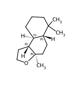 CC1(C)CCC[C@H]2[C@H]1CC[C@@]1(C)OCC[C@H]21